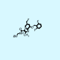 CCC(C)CNC(=O)c1c(C)nc2c(OCc3c(F)cccc3F)cc(CF)cn12